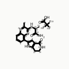 Cc1nc2cccc(-c3cc4c([nH]3)CCNC4=O)c2nc1N[C@@H](C)C(N)=O.O=C(O)C(F)(F)F